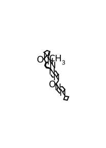 CC1CCCN1C(=O)c1ccc(N2CCN(CC(=O)N3CCN(C4CCC4)CC3)CC2)nn1